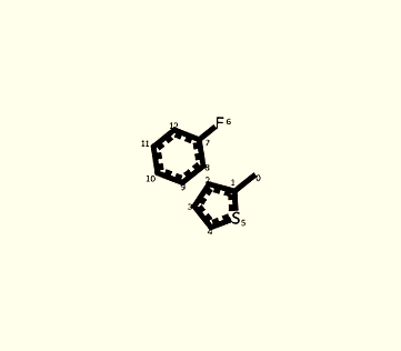 Cc1cccs1.Fc1ccccc1